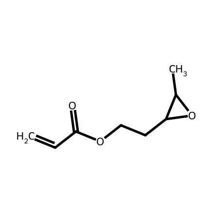 C=CC(=O)OCCC1OC1C